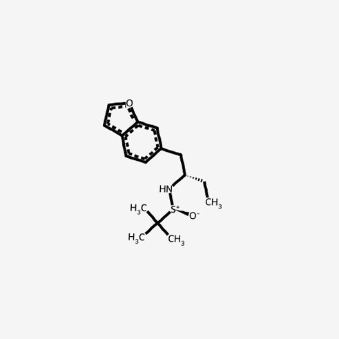 CC[C@@H](Cc1ccc2ccoc2c1)N[S@@+]([O-])C(C)(C)C